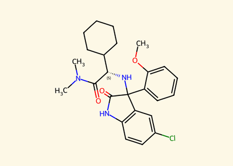 COc1ccccc1C1(N[C@H](C(=O)N(C)C)C2CCCCC2)C(=O)Nc2ccc(Cl)cc21